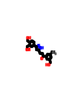 Cc1cc(CO)cc(C(=O)/C=C/c2cc(-c3ccc(CO)c(CO)c3)n[nH]2)c1